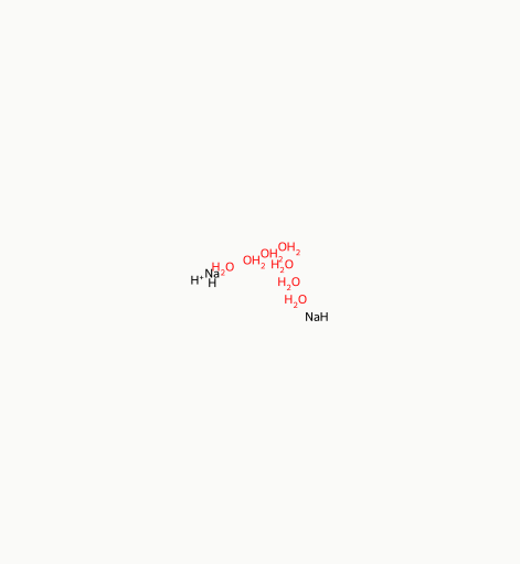 O.O.O.O.O.O.O.[H+].[NaH].[NaH]